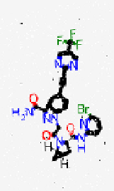 NC(=O)c1nn(CC(=O)N2[C@@H]3C[C@@H]3C[C@H]2C(=O)Nc2cccc(Br)n2)c2ccc(C#Cc3ncc(C(F)(F)F)cn3)cc12